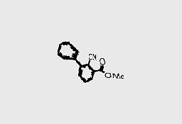 COC(=O)c1cccc(-c2ccccc2)c1C#N